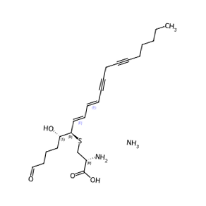 CCCCCC#CCC#C/C=C/C=C/[C@@H](SC[C@H](N)C(=O)O)[C@@H](O)CCCC=O.N